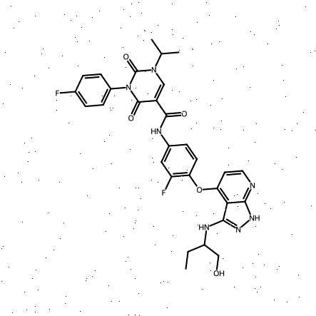 CCC(CO)Nc1n[nH]c2nccc(Oc3ccc(NC(=O)c4cn(C(C)C)c(=O)n(-c5ccc(F)cc5)c4=O)cc3F)c12